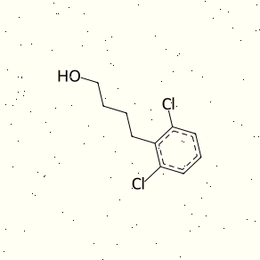 OCCCCc1c(Cl)cccc1Cl